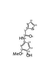 COc1cc(NC(=O)Cc2cccs2)ccc1O